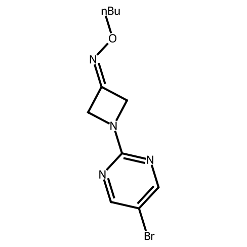 [CH2][CH]CCON=C1CN(c2ncc(Br)cn2)C1